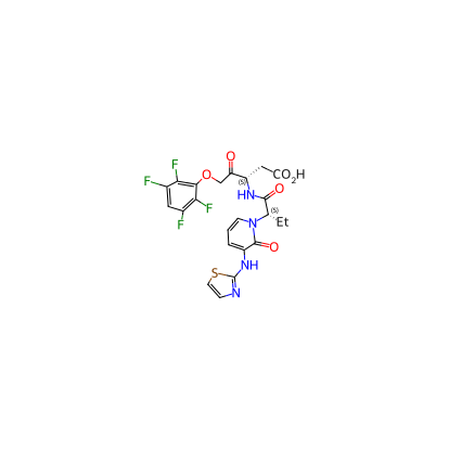 CC[C@@H](C(=O)N[C@@H](CC(=O)O)C(=O)COc1c(F)c(F)cc(F)c1F)n1cccc(Nc2nccs2)c1=O